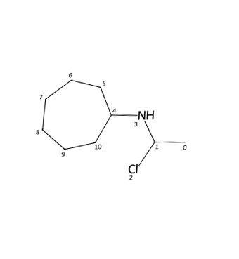 CC(Cl)NC1CCCCCC1